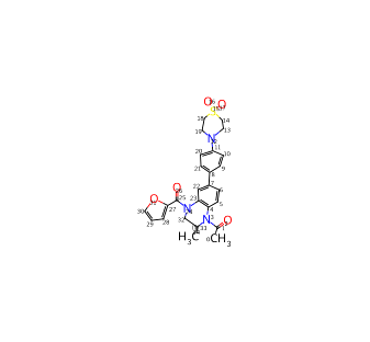 CC(=O)N1c2ccc(-c3ccc(N4CCS(=O)(=O)CC4)cc3)cc2N(C(=O)c2ccco2)C[C@@H]1C